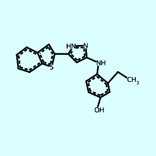 CCc1cc(O)ccc1Nc1cc(-c2cc3ccccc3s2)[nH]n1